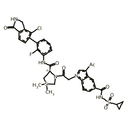 CC(=O)c1cn(CC(=O)N2C[Si](C)(C)C[C@H]2C(=O)Nc2cccc(-c3ccc4c(c3Cl)CNC4=O)c2F)c2ccc(C(=O)NS(=O)(=O)C3CC3)cc12